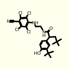 CC(C)(C)CC(C(=O)NCCNc1c(Cl)c(Cl)c(C#N)c(Cl)c1Cl)c1ccc(O)c(C(C)(C)C)c1